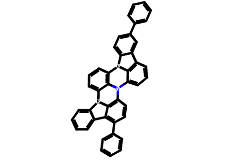 c1ccc(-c2ccc3c(c2)-c2cccc4c2B3c2cccc3c2N4c2ccc(-c4ccccc4)c4c2B3c2ccccc2-4)cc1